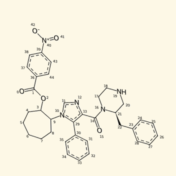 O=C(OC1CCCCCC1n1cnc(C(=O)N2CCNC[C@H]2Cc2ccccc2)c1-c1ccccc1)c1ccc([N+](=O)[O-])cc1